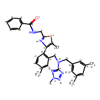 CCc1sc(CNC(=O)c2ccccc2)nc1-c1ccc(C(F)(F)F)cc1CN(Cc1cc(C(F)(F)F)cc(C(F)(F)F)c1)c1nnn(C)n1